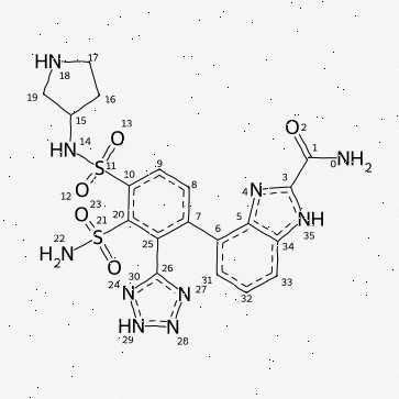 NC(=O)c1nc2c(-c3ccc(S(=O)(=O)NC4CCNC4)c(S(N)(=O)=O)c3-c3nn[nH]n3)cccc2[nH]1